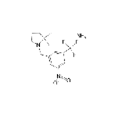 CC1(C)CCCN1Cc1cc([N+](=O)[O-])cc(C(F)(F)F)c1.N